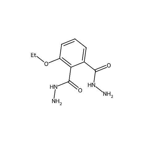 CCOc1cccc(C(=O)NN)c1C(=O)NN